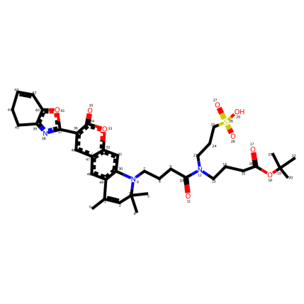 CC1=CC(C)(C)N(CCCC(=O)N(CCCC(=O)OC(C)(C)C)CCCS(=O)(=O)O)c2cc3oc(=O)c(-c4nc5c(o4)C=CCC5)cc3cc21